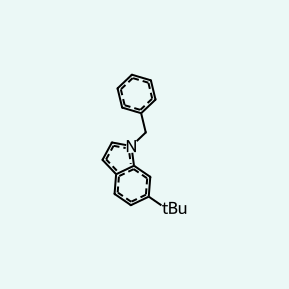 CC(C)(C)c1ccc2ccn(Cc3ccccc3)c2c1